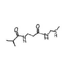 CC(C)C(=O)NCCC(=O)NC[SH](C)C